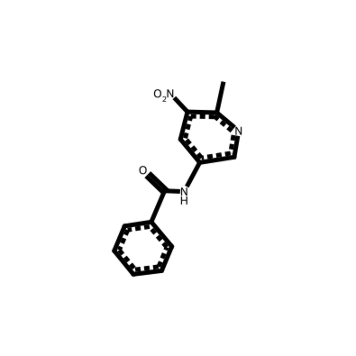 Cc1ncc(NC(=O)c2ccccc2)cc1[N+](=O)[O-]